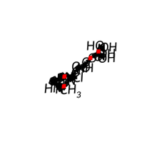 CCCCc1nc(Cl)c(COC(=O)NCC(=O)OCCOCC(CON(O)O)ON(O)O)n1Cc1ccc(-c2ccccc2-c2nnn[nH]2)cc1